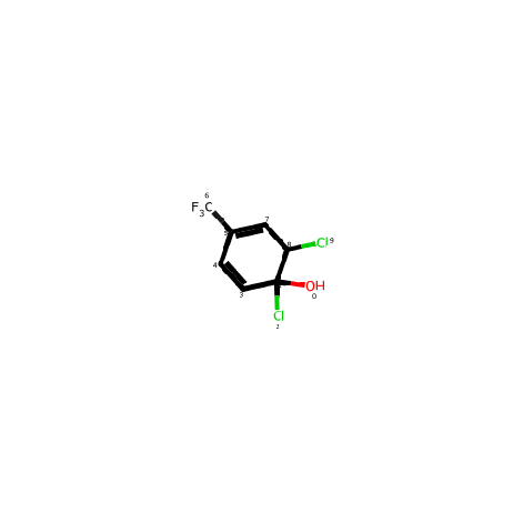 OC1(Cl)C=CC(C(F)(F)F)=CC1Cl